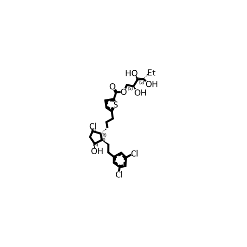 CC[C@H](O)[C@H](O)[C@@H](O)COC(=O)c1ccc(CCC[C@@H]2[C@@H](CCc3cc(Cl)cc(Cl)c3)[C@H](O)C[C@H]2Cl)s1